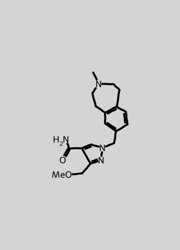 COCc1nn(Cc2ccc3c(c2)CCN(C)CC3)cc1C(N)=O